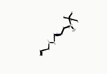 C=CCSS/C=C/C[S+]([O-])C(C)(C)C